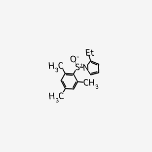 CCc1cccn1[S+]([O-])c1c(C)cc(C)cc1C